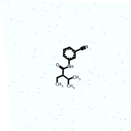 CCC(C(=O)Nc1cccc(C#N)c1)C(C)C